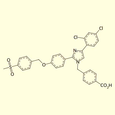 CS(=O)(=O)c1ccc(COc2ccc(-c3nc(-c4ccc(Cl)cc4Cl)cn3Cc3ccc(C(=O)O)cc3)cc2)cc1